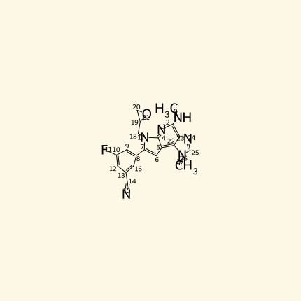 CNc1nc2c(cc(-c3cc(F)cc(C#N)c3)n2CC2CO2)c2c1ncn2C